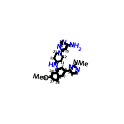 CNc1nccc(-c2cc(NC3CCN(c4cc(N)ncn4)CC3)c3cc(OC)ccc3c2)n1